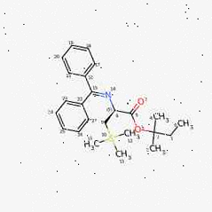 CCC(C)(C)OC(=O)[C@@H](CS(C)(C)C)N=C(c1ccccc1)c1ccccc1